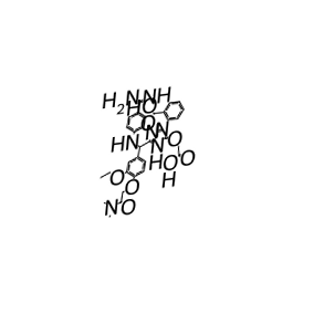 CC(=O)O.CCOc1cc(C(Nc2ccc(C(=N)N)cc2)c2nn(-c3ccccc3C(=O)O)c(=O)[nH]2)ccc1OCC(=O)N(C)C